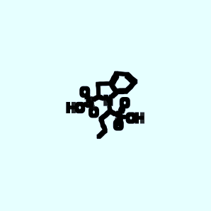 CCCC(N1c2ccccc2CC1S(=O)(=O)O)S(=O)(=O)O